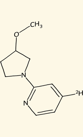 [2H]c1ccnc(N2CCC(OC)C2)c1